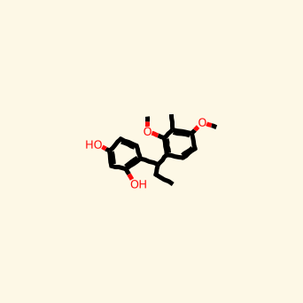 CCC(c1ccc(O)cc1O)c1ccc(OC)c(C)c1OC